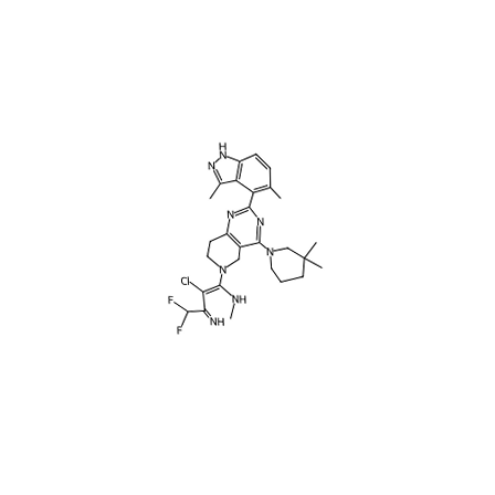 CN/C(=C(/Cl)C(=N)C(F)F)N1CCc2nc(-c3c(C)ccc4[nH]nc(C)c34)nc(N3CCCC(C)(C)C3)c2C1